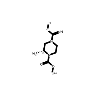 CCSC(=N)N1CCN(C(=O)OC(C)(C)C)[C@H](C)C1